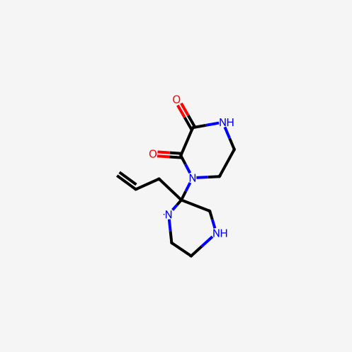 C=CCC1(N2CCNC(=O)C2=O)CNCC[N]1